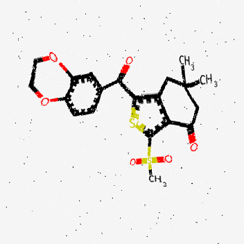 CC1(C)CC(=O)c2c(S(C)(=O)=O)sc(C(=O)c3ccc4c(c3)OCCO4)c2C1